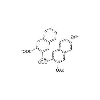 CC(=O)Oc1cc2ccccc2cc1C(=O)[O-].CC(=O)Oc1cc2ccccc2cc1C(=O)[O-].[Zn+2]